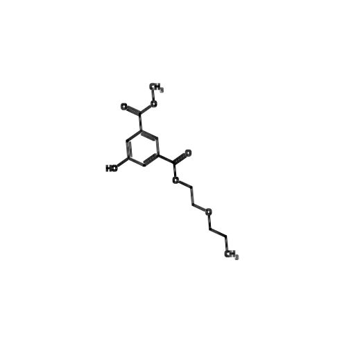 CCCOCCOC(=O)c1cc(O)cc(C(=O)OC)c1